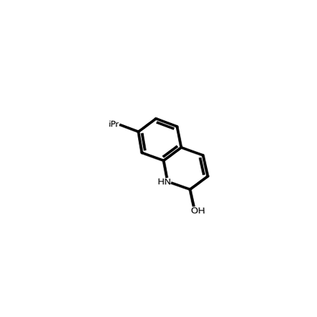 CC(C)c1ccc2c(c1)NC(O)C=C2